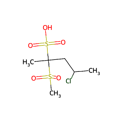 CC(Cl)CC(C)(S(C)(=O)=O)S(=O)(=O)O